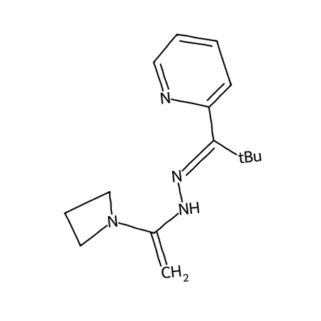 C=C(N/N=C(/c1ccccn1)C(C)(C)C)N1CCC1